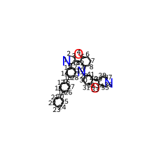 C1=NCc2oc3cccc(N(c4cccc(-c5ccc(-c6ccccc6)cc5)c4)c4ccc5oc6cnccc6c5c4)c3c21